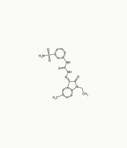 CCN1C(=O)C(=NNC(=S)Nc2cccc(S(N)(=O)=O)c2)c2cc(C)ccc21